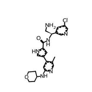 Cc1cnc(NC2CCOCC2)cc1-c1c[nH]c(C(=O)N[C@@H](CN)c2cncc(Cl)c2)c1